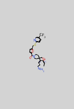 C/C=C1/OCC2(CCN(C(=O)c3ccc(CSc4ccc(C(F)(F)F)cn4)o3)CC2)/C1=C/CCN